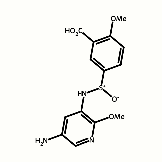 COc1ccc([S+]([O-])Nc2cc(N)cnc2OC)cc1C(=O)O